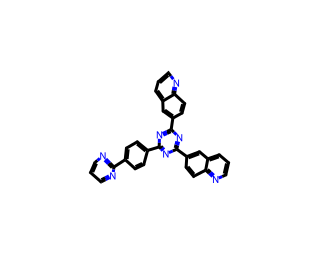 c1cnc(-c2ccc(-c3nc(-c4ccc5ncccc5c4)nc(-c4ccc5ncccc5c4)n3)cc2)nc1